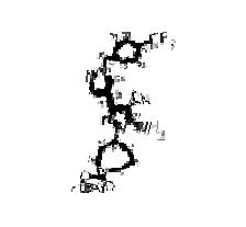 CC(C)(C)OC(=O)N1CCC[C@H](n2nc(-c3cnn(Cc4ccc(C(F)(F)F)cc4)c3)c(C#N)c2N)CC1